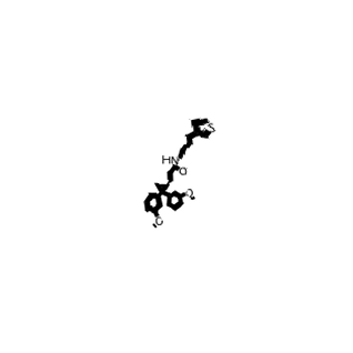 COc1cccc(C2(c3cccc(OC)c3)C[C@H]2/C=C/C(=O)NCCCCc2ccsc2)c1